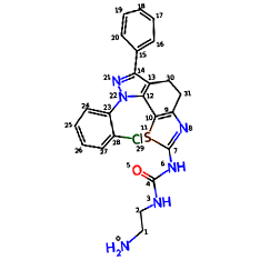 NCCNC(=O)Nc1nc2c(s1)-c1c(c(-c3ccccc3)nn1-c1ccccc1Cl)CC2